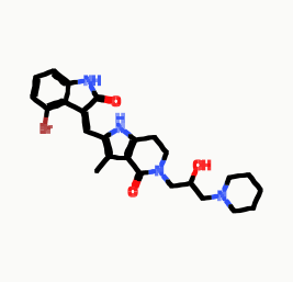 Cc1c(/C=C2\C(=O)Nc3cccc(Br)c32)[nH]c2c1C(=O)N(CC(O)CN1CCCCC1)CC2